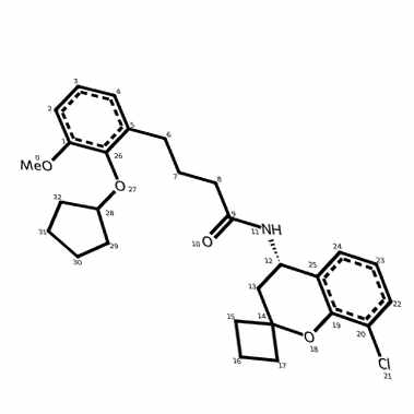 COc1cccc(CCCC(=O)N[C@H]2CC3(CCC3)Oc3c(Cl)cccc32)c1OC1CCCC1